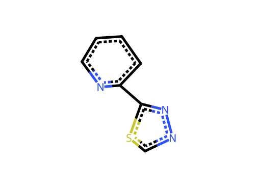 c1ccc(-c2nncs2)nc1